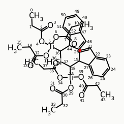 CCC(=O)[O][Ti]([O]C(=O)CC)([O]C(=O)CC)[CH]([SiH2][CH](C1C=Cc2ccccc21)[Ti]([O]C(=O)CC)([O]C(=O)CC)[O]C(=O)CC)C1C=Cc2ccccc21